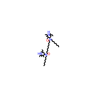 CCCCCCCCN(C(=O)CCCCCCCCC(=O)N(CCCCCCCC)C1CC(C)(CC)NC(C)(CC)C1C)C1CC(C)(CC)NC(C)(CC)C1C